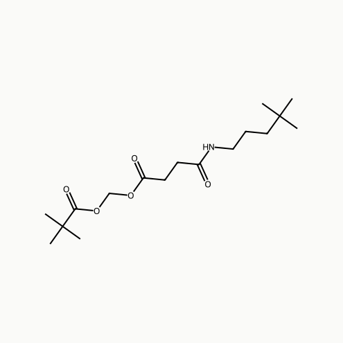 CC(C)(C)CCCNC(=O)CCC(=O)OCOC(=O)C(C)(C)C